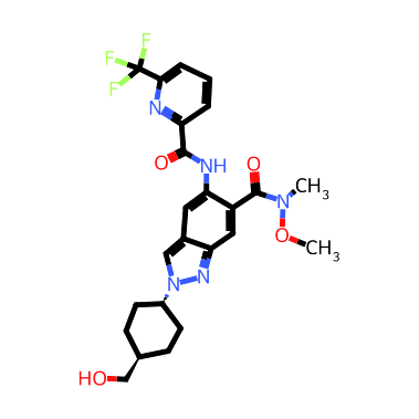 CON(C)C(=O)c1cc2nn([C@H]3CC[C@H](CO)CC3)cc2cc1NC(=O)c1cccc(C(F)(F)F)n1